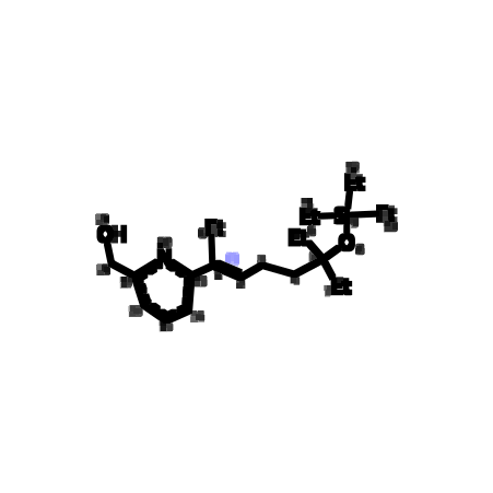 CC/C(=C\CCC(CC)(CC)O[Si](CC)(CC)CC)c1cccc(CO)n1